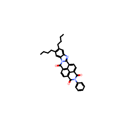 CCCCc1cc2nc3c4ccc5c6c(ccc(c(=O)n3c2cc1CCCC)c64)C(=O)N(c1ccccc1)C5=O